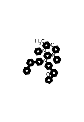 Cc1cccc(N(c2ccccc2)c2cc(N(c3ccc(-c4cccc(-c5ccccc5)c4)cc3)c3ccc(-c4cccc5c4oc4ccccc45)cc3)cc(N(c3ccccc3)c3cccc(C)c3)c2)c1